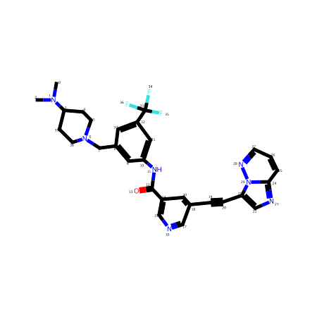 CN(C)C1CCN(Cc2cc(NC(=O)c3cncc(C#Cc4cnc5cccnn45)c3)cc(C(F)(F)F)c2)CC1